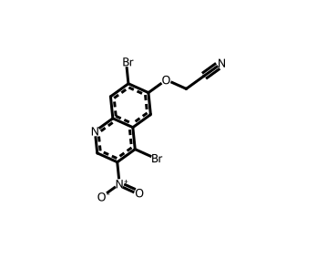 N#CCOc1cc2c(Br)c([N+](=O)[O-])cnc2cc1Br